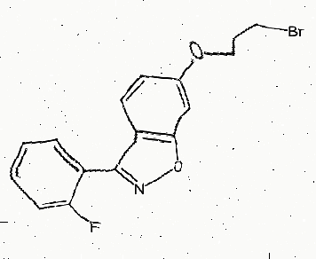 Fc1ccccc1-c1noc2cc(OCCBr)ccc12